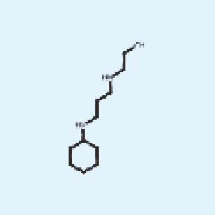 OCCNCCCNC1CCCCC1